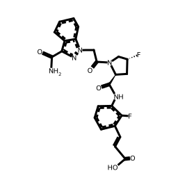 NC(=O)c1nn(CC(=O)N2C[C@H](F)C[C@H]2C(=O)Nc2cccc(C=CC(=O)O)c2F)c2ccccc12